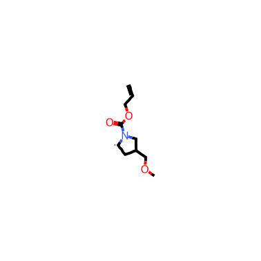 C=CCOC(=O)N1[CH]CC(COC)C1